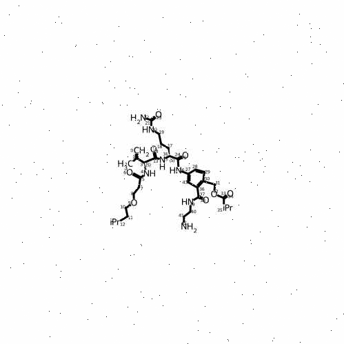 C=C(C)[C@H](NC(=O)CCOCCC(C)C)C(=O)N[C@@H](CCCNC(N)=O)C(=O)Nc1ccc(COC(=O)C(C)C)c(C(=O)NCCN)c1